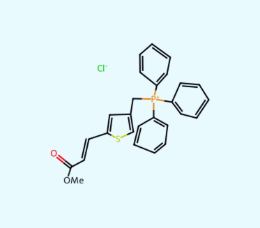 COC(=O)C=Cc1cc(C[P+](c2ccccc2)(c2ccccc2)c2ccccc2)cs1.[Cl-]